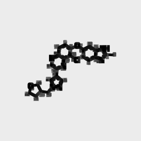 Cc1nc2ccc(Oc3ccc4ncc(-c5cnn(CC6CCOC6)c5)nc4c3Cl)cc2[nH]1